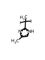 Cc1c[nH]c(C(C)(I)I)n1